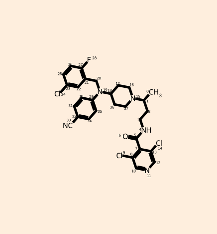 CC(CCNC(=O)c1c(Cl)cncc1Cl)N1CCC(N(Cc2cc(Cl)ccc2F)c2ccc(C#N)cc2)CC1